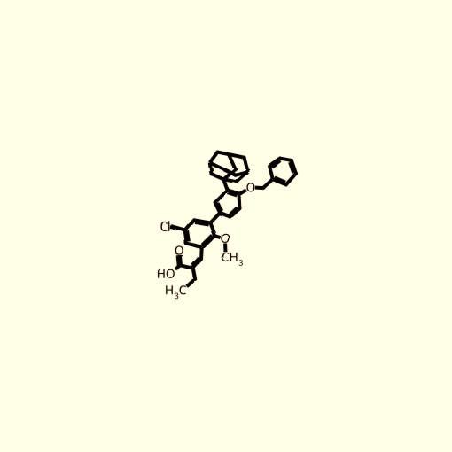 CCC(=Cc1cc(Cl)cc(-c2ccc(OCc3ccccc3)c(C34CC5CC(CC(C5)C3)C4)c2)c1OC)C(=O)O